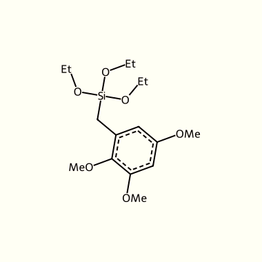 CCO[Si](Cc1cc(OC)cc(OC)c1OC)(OCC)OCC